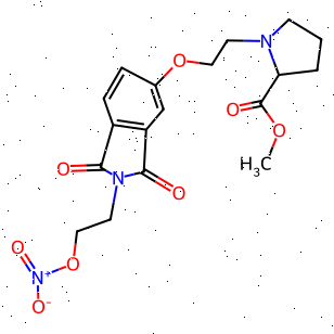 COC(=O)C1CCCN1CCOc1ccc2c(c1)C(=O)N(CCO[N+](=O)[O-])C2=O